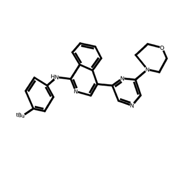 CC(C)(C)c1ccc(Nc2ncc(-c3cncc(N4CCOCC4)n3)c3ccccc23)cc1